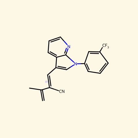 C=C(C)/C(C#N)=C/c1cn(-c2cccc(C(F)(F)F)c2)c2ncccc12